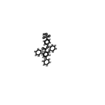 O=C(Oc1ccc(S(=O)(=O)O)cc1)c1c(C2CCCCC2)cc(C2CCCCC2)cc1C1CCCCC1